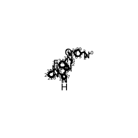 CN(C)CC1CCN(C(=O)N2CCn3cc(-c4c[nH]cc4-c4cnc5ccccn45)c4cc(F)cc(c43)C2)CC1